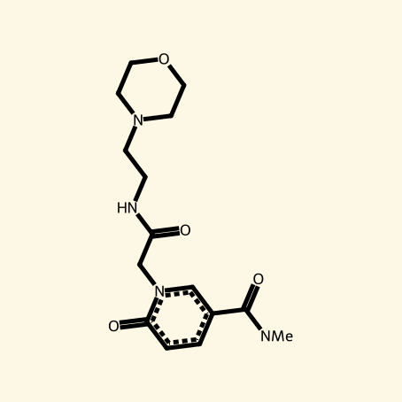 CNC(=O)c1ccc(=O)n(CC(=O)NCCN2CCOCC2)c1